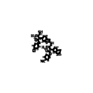 CC(CS)N(C(=O)Oc1ccc(C#N)cc1)c1ccc2ncsc2c1.CC(CS)N(C(=O)Oc1ccc(Cl)cc1)c1ccc2ncsc2c1